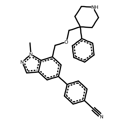 Cn1ncc2cc(-c3ccc(C#N)cc3)cc(COCC3(c4ccccc4)CCNCC3)c21